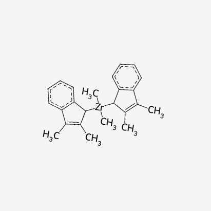 CC1=C(C)[CH]([Zr]([CH3])([CH3])[CH]2C(C)=C(C)c3ccccc32)c2ccccc21